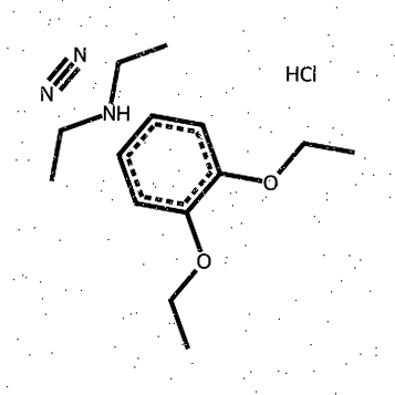 CCNCC.CCOc1ccccc1OCC.Cl.N#N